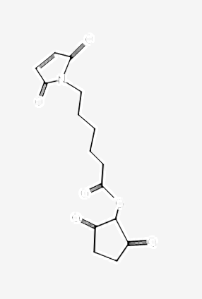 O=C(CCCCCN1C(=O)C=CC1=O)OC1C(=O)CCC1=O